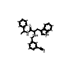 CC(NC(=O)C(Cc1c[nH]c2ccccc12)NCc1cccc(C#N)c1)c1ccccc1